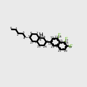 CCCCC[C@@H]1CC[C@@H]2CC(c3cc(F)c4c(F)c(F)ccc4c3)CCC2C1